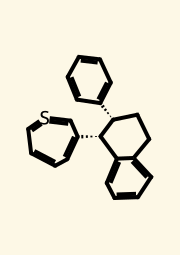 C1=CC=C([C@H]2c3ccccc3CC[C@H]2c2ccccc2)C=S=C1